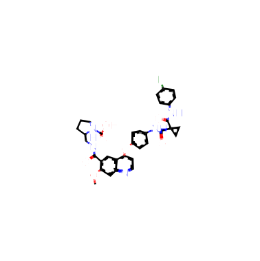 COc1cc2nccc(Oc3ccc(NC(=O)C4(C(=O)Nc5ccc(F)cc5)CC4)cc3)c2cc1C(=O)NCC1CCCN1C(=O)O